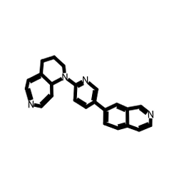 C1=CC2C(=CC=N1)CCCN2c1ccc(-c2ccc3ccncc3c2)cn1